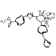 COC(=O)c1ccc(-c2cnc(C(CCc3ccc(-c4ccccc4)cc3)O[Si](C)(C)C(C)(C)C)o2)cn1